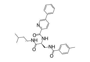 Cc1ccc(C(=O)NC[C@H](NC(=O)c2ccc(-c3ccccc3)cn2)C(=O)N[CH]CC(C)C)cc1